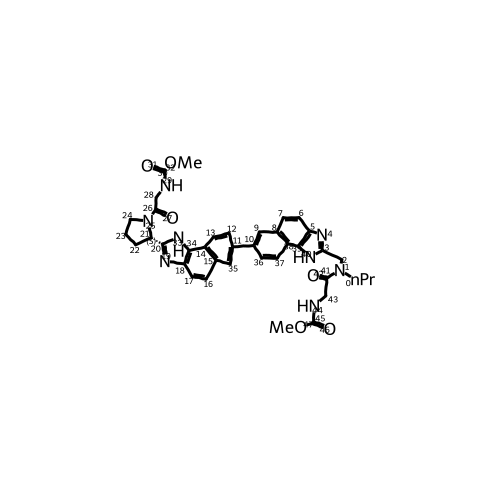 CCCN(Cc1nc2ccc3cc(-c4ccc5c(ccc6nc([C@@H]7CCCN7C(=O)CNC(=O)OC)[nH]c65)c4)ccc3c2[nH]1)C(=O)CNC(=O)OC